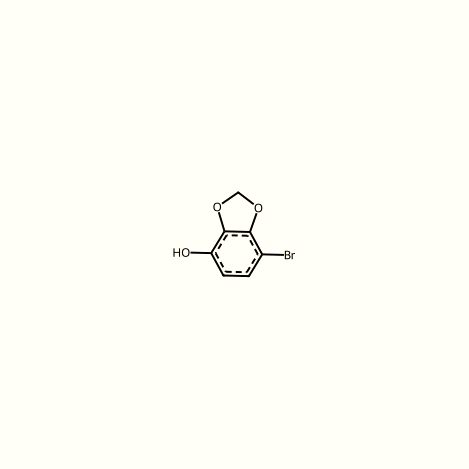 Oc1ccc(Br)c2c1OCO2